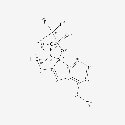 CCC1=Cc2c(CC)cccc2S1(OS(=O)(=O)C(F)(F)F)C(F)(F)F